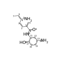 C=C(/C=C\C(N)=C/C)C(=O)Nc1cc(N)ccc1O